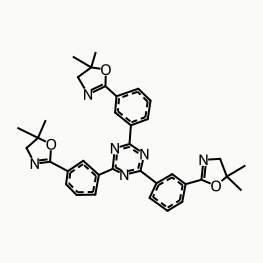 CC1(C)CN=C(c2cccc(-c3nc(-c4cccc(C5=NCC(C)(C)O5)c4)nc(-c4cccc(C5=NCC(C)(C)O5)c4)n3)c2)O1